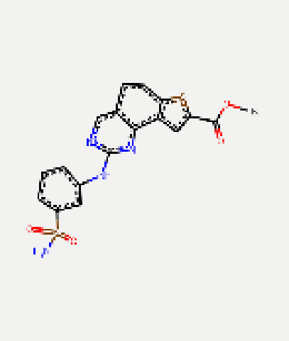 CC(C)(C)OC(=O)c1cc2c(ccc3cnc(Nc4cccc(S(N)(=O)=O)c4)nc32)s1